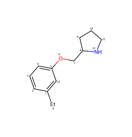 CCc1cccc(OCC2CCCN2)c1